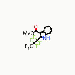 COC(=O)c1c(C(F)(F)C(F)(F)C(F)(F)F)[nH]c2ccccc12